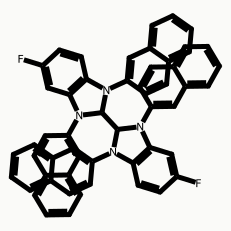 Fc1ccc2c(c1)N(c1ccc3ccccc3c1)C(C1N(c3ccc4ccccc4c3)c3ccc(F)cc3N1c1ccc3ccccc3c1)N2c1ccc2ccccc2c1